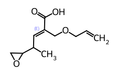 C=CCOC/C(=C\C(C)C1CO1)C(=O)O